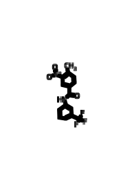 Cc1ccc(C(=O)Nc2cccc(C(F)(F)F)c2)cc1[N+](=O)[O-]